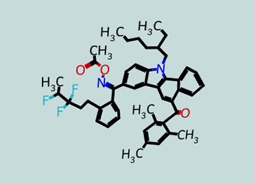 CCCCC(CC)Cn1c2ccc(/C(=N\OC(C)=O)c3ccccc3CCC(F)(F)C(C)F)cc2c2cc(C(=O)c3c(C)cc(C)cc3C)c3ccccc3c21